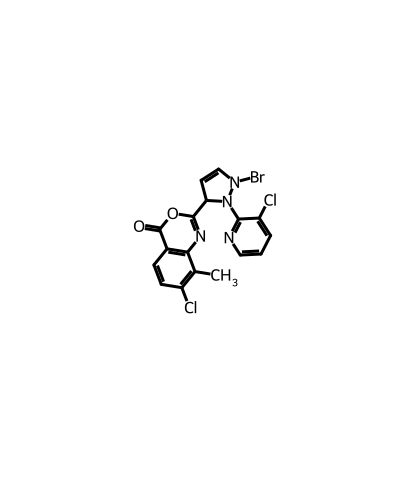 Cc1c(Cl)ccc2c(=O)oc(C3C=CN(Br)N3c3ncccc3Cl)nc12